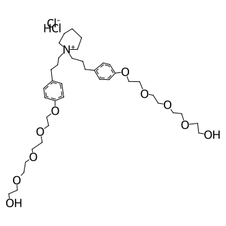 Cl.OCCOCCOCCOCCOc1ccc(CCC[N+]2(CCCc3ccc(OCCOCCOCCOCCO)cc3)CCCCC2)cc1.[Cl-]